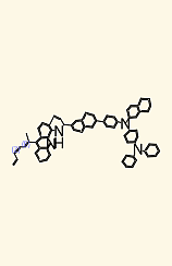 C=C/C=C\C=C(/C)c1c2ccccc2nc2c3c(ccc12)C=CC(c1ccc2cc(-c4ccc(N(c5ccc(N(c6ccccc6)c6ccccc6)cc5)c5ccc6ccccc6c5)cc4)ccc2c1)N3